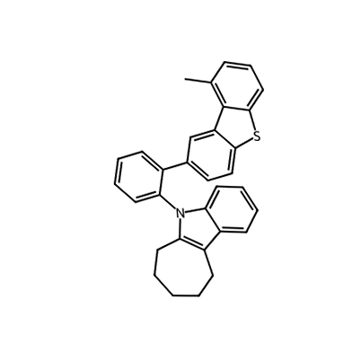 Cc1cccc2sc3ccc(-c4ccccc4-n4c5c(c6ccccc64)CCCCC5)cc3c12